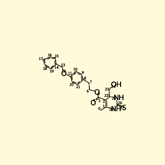 CC1=C(C(=O)OCCc2ccc(OCc3ccccc3)cc2)C(CO)NC(=S)N1